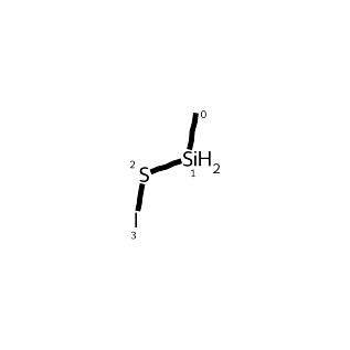 C[SiH2]SI